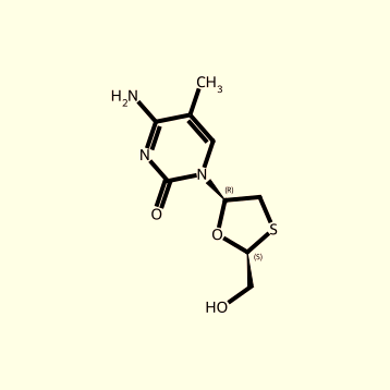 Cc1cn([C@H]2CS[C@@H](CO)O2)c(=O)nc1N